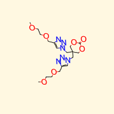 COCCOCc1cn(CC2(Cn3cc(COCCOC)nn3)COC(=O)OC2)nn1